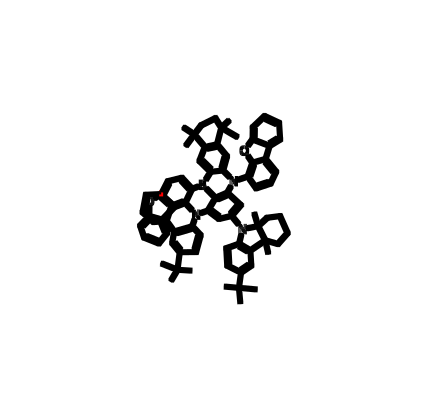 CC(C)(C)c1ccc(N2c3cc(N4c5ccc(C(C)(C)C)cc5C5(C)CCCCC45C)cc4c3B(c3cc5c(cc3N4c3cccc4c3oc3ccccc34)C(C)(C)CCC5(C)C)c3ccc4oc5ccccc5c4c32)c(-c2ccccc2)c1